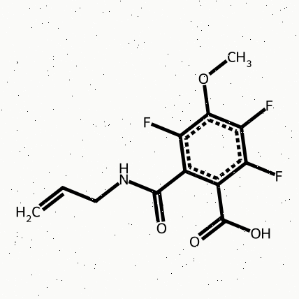 C=CCNC(=O)c1c(F)c(OC)c(F)c(F)c1C(=O)O